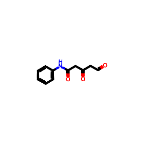 O=CCC(=O)CC(=O)Nc1ccccc1